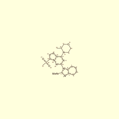 CNc1nc2ccccc2n1-c1nc(N2CCOCC2C)c2ccc(S(C)(=O)=O)n2n1